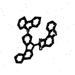 c1ccc2c3c(ccc2c1)C(c1nc2c(ccc4sc5ccccc5c42)o1)c1cc(-n2c4ccccc4c4ccccc42)ccc1-3